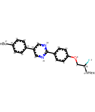 CCCCCC[C@H](F)COc1ccc(-c2ncc(-c3ccc(CCCC)cc3)cn2)cc1